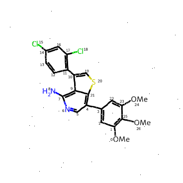 COc1cc(-c2cnc(N)c3c(-c4ccc(Cl)cc4Cl)csc23)cc(OC)c1OC